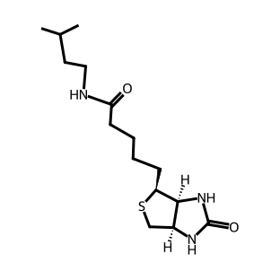 CC(C)CCNC(=O)CCCC[C@@H]1SC[C@@H]2NC(=O)N[C@@H]21